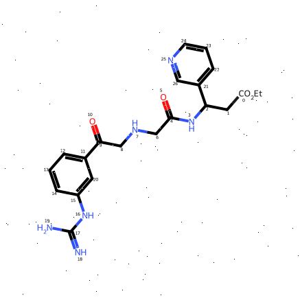 CCOC(=O)CC(NC(=O)CNCC(=O)c1cccc(NC(=N)N)c1)c1cccnc1